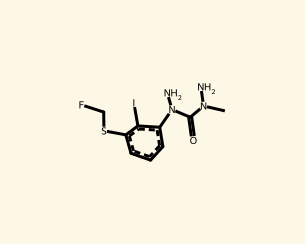 CN(N)C(=O)N(N)c1cccc(SCF)c1I